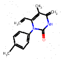 C=CC1=C(C)C(=C)NC(=O)N1c1ccc(C)cc1